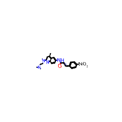 Cc1cc(N(C)CCN(C)C)nc2ccc(NC(=O)/C=C/c3ccc([N+](=O)[O-])cc3)cc12